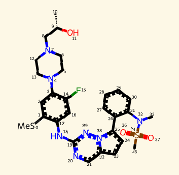 CSc1cc(N2CCN(C[C@H](C)O)CC2)c(F)cc1Nc1ncc2ccc(-c3ccccc3N(C)S(C)(=O)=O)n2n1